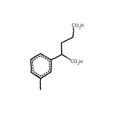 Cc1cccc(C(CCC(=O)O)C(=O)O)c1